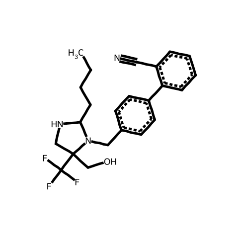 CCCCC1NCC(CO)(C(F)(F)F)N1Cc1ccc(-c2ccccc2C#N)cc1